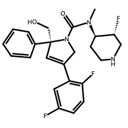 CN(C(=O)N1CC(c2cc(F)ccc2F)=C[C@@]1(CO)c1ccccc1)[C@@H]1CCNC[C@H]1F